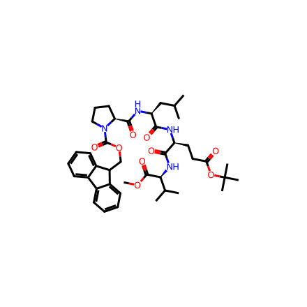 COC(=O)[C@@H](NC(=O)[C@H](CCC(=O)OC(C)(C)C)NC(=O)[C@H](CC(C)C)NC(=O)[C@@H]1CCCN1C(=O)OCC1c2ccccc2-c2ccccc21)C(C)C